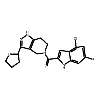 O=C(c1cc2c(Cl)cc(F)cc2[nH]1)N1CCc2[nH]nc(C3CCCO3)c2C1